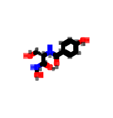 O=C(N[C@@H](CO)C(=O)NO)c1ccc(O)cc1